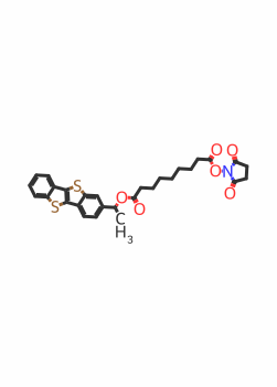 CC(OC(=O)CCCCCCCC(=O)ON1C(=O)CCC1=O)c1ccc2c(c1)sc1c3ccccc3sc21